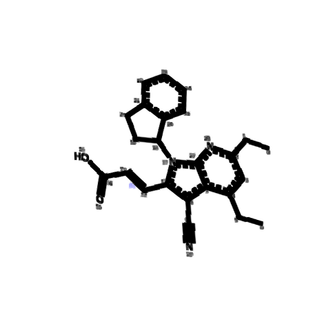 CCc1cc(CC)c2c(C#N)c(/C=C/C(=O)O)n(C3CCc4ccccc43)c2n1